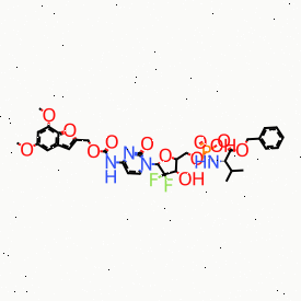 COc1cc(OC)c2oc(COC(=O)Nc3ccn(C4OC(COP(=O)(O)N[C@H](C(=O)OCc5ccccc5)C(C)C)[C@@H](O)C4(F)F)c(=O)n3)cc2c1